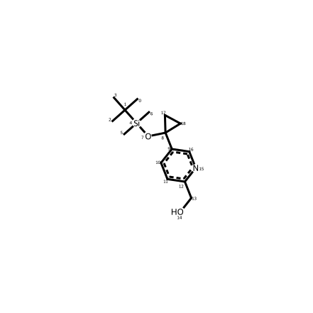 CC(C)(C)[Si](C)(C)OC1(c2ccc(CO)nc2)CC1